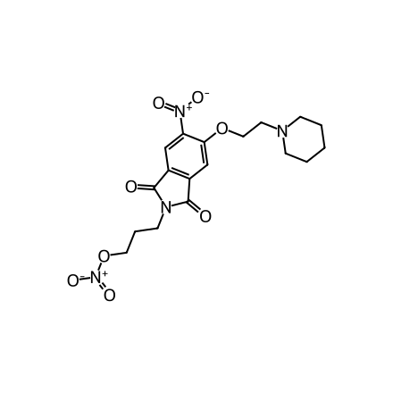 O=C1c2cc(OCCN3CCCCC3)c([N+](=O)[O-])cc2C(=O)N1CCCO[N+](=O)[O-]